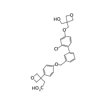 O=C(O)CC1(c2ccc(OCc3cccc(-c4ccc(OCC5(CO)COC5)cc4Cl)c3)cc2)COC1